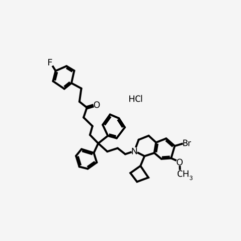 COc1cc2c(cc1Br)CCN(CCCC(CCCC(=O)CCc1ccc(F)cc1)(c1ccccc1)c1ccccc1)C2C1CCC1.Cl